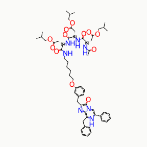 CC(=O)N[C@@H](CC(=O)OCC(C)C)C(=O)N[C@@H](CC(=O)OCC(C)C)C(=O)N[C@@H](CC(=O)OCC(C)C)C(=O)NCCCCCCOc1cccc(Cc2nc3c(Cc4ccccc4)[nH]c(-c4ccccc4)cn-3c2=O)c1